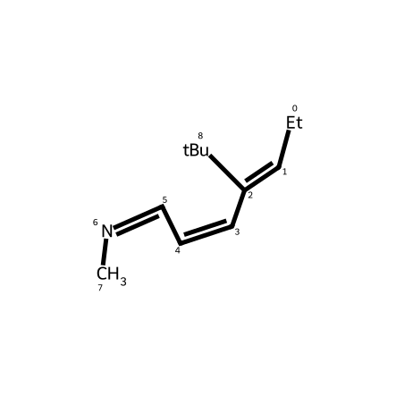 CC/C=C(/C=C\C=N/C)C(C)(C)C